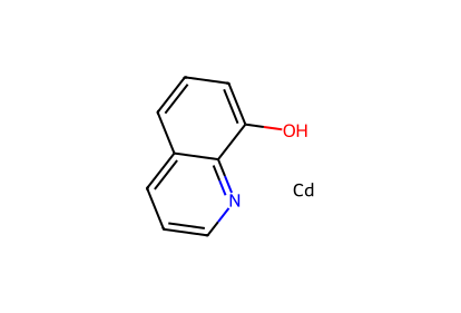 Oc1cccc2cccnc12.[Cd]